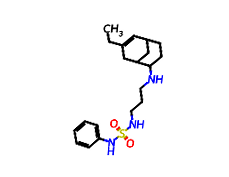 CCC1=CC2CCC(NCCCNS(=O)(=O)Nc3ccccc3)C(C1)C2